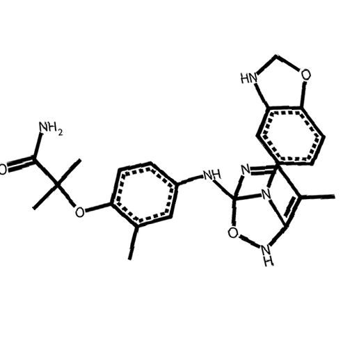 CC1=C2NOC(Nc3ccc(OC(C)(C)C(N)=O)c(C)c3)(N=C1)N2c1ccc2c(c1)NCO2